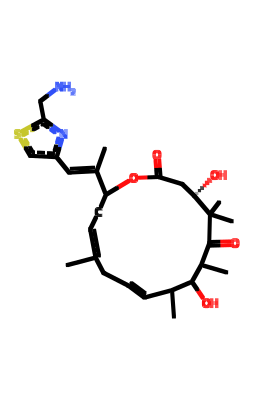 C/C1=C/CC(/C(C)=C/c2csc(CN)n2)OC(=O)C[C@H](O)C(C)(C)C(=O)C(C)C(O)C(C)/C=C/C1